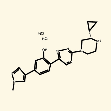 Cl.Cl.Cn1cc(-c2ccc(-c3cnc(N4CCN[C@@H](C5CC5)C4)nn3)c(O)c2)cn1